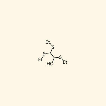 CCS[C](SCC)C(O)SCC